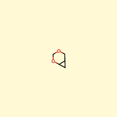 C1OCC2CC2O1